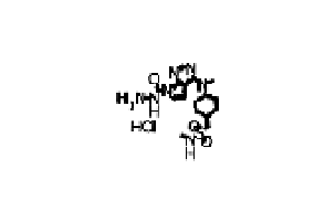 CNS(=O)(=O)CC1CCC(N(C)c2ncnc3c2ccn3C(=O)NN)CC1.Cl